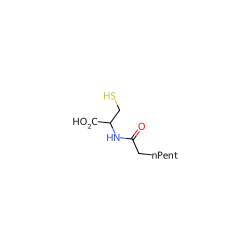 CCCCCCC(=O)NC(CS)C(=O)O